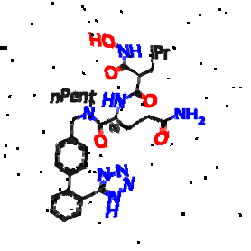 CCCCCN(Cc1ccc(-c2ccccc2-c2nnn[nH]2)cc1)C(=O)[C@H](CCC(N)=O)NC(=O)C(CC(C)C)C(=O)NO